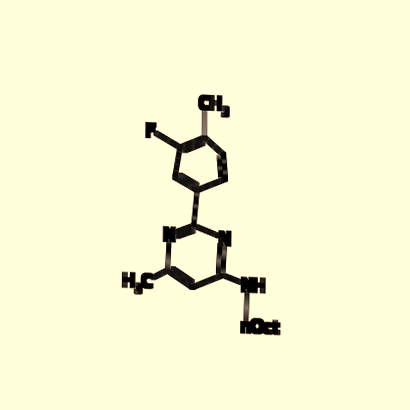 CCCCCCCCNc1cc(C)nc(-c2ccc(C)c(F)c2)n1